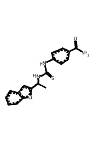 CC(NC(=S)Nc1ccc(C(N)=O)cc1)c1cc2ccccc2o1